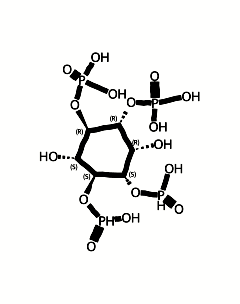 O=[PH](O)O[C@H]1[C@H](O)[C@@H](OP(=O)(O)O)[C@H](OP(=O)(O)O)[C@H](O)[C@@H]1O[PH](=O)O